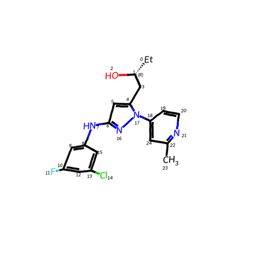 CC[C@@H](O)Cc1cc(Nc2cc(F)cc(Cl)c2)nn1-c1ccnc(C)c1